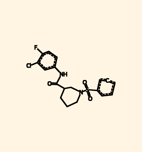 O=C(Nc1ccc(F)c(Cl)c1)C1CCCN(S(=O)(=O)c2ccccc2)C1